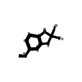 COc1ccc2c(c1)OC(F)(F)O2